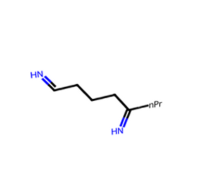 CCCC(=N)CCCC=N